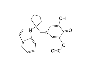 O=COc1cn(CC2(n3ccc4ccccc43)CCCC2)cc(O)c1=O